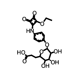 CCOc1c(Nc2ccc(O[C@@H]3OC(CCC(=O)O)C(O)[C@H](O)C3O)cc2)c(=O)c1=O